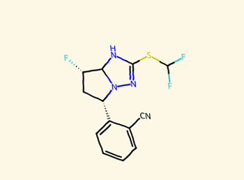 N#Cc1ccccc1[C@@H]1C[C@H](F)C2NC(SC(F)F)=NN21